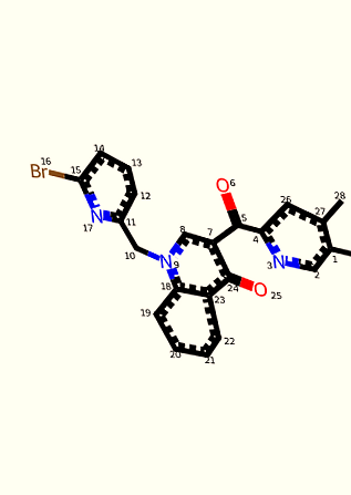 Cc1cnc(C(=O)c2cn(Cc3cccc(Br)n3)c3ccccc3c2=O)cc1C